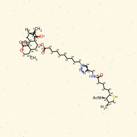 C=C1C(=O)[C@]23CC[C@H]1CC2C1(CCCC)C(=O)OC[C@@H](C)C1C[C@H]3OC(=O)CCCCCCCCCn1cc(CNC(=O)CCCC[C@H]2SC[C@@H](C)[C@H]2NC(C)=O)nn1